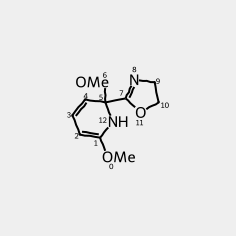 COC1=CC=CC(OC)(C2=NCCO2)N1